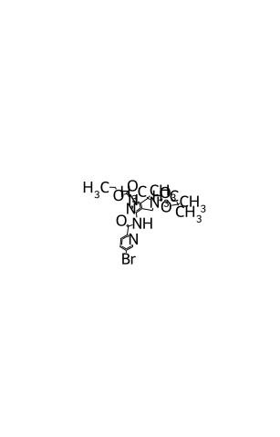 CCOC(=O)n1nc(NC(=O)c2ccc(Br)cn2)c2c1C(C)(C)N(C(=O)OC(C)(C)C)C2